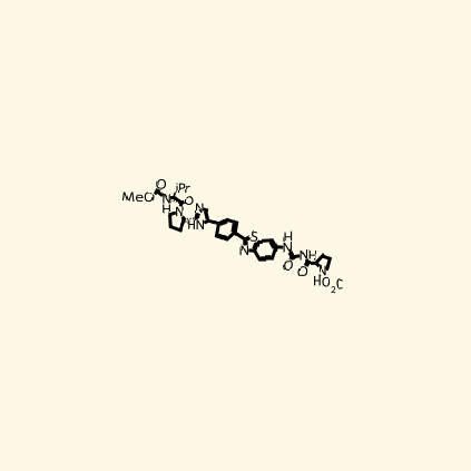 COC(=O)N[C@H](C(=O)N1CCC[C@H]1c1ncc(-c2ccc(-c3nc4ccc(NC(=O)NC(=O)C5CCCN5C(=O)O)cc4s3)cc2)[nH]1)C(C)C